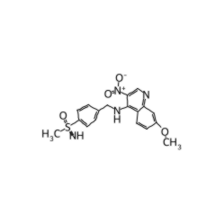 COc1ccc2c(NCc3ccc(S(C)(=N)=O)cc3)c([N+](=O)[O-])cnc2c1